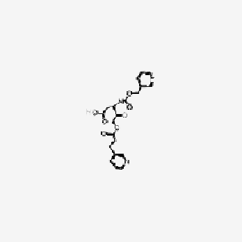 O=C(O)CC(NC(=O)OCc1ccccc1)C(=O)COC(=O)CCc1cccnc1